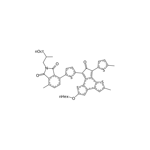 CCCCCCCCC(C)CN1C(=O)c2c(C)ccc(-c3ccc(C4=c5c(c6sc(C)cc6c6cc(OCCCCCC)sc56)=C(c5ccc(C)s5)C4=O)s3)c2C1=O